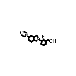 OCc1cccc(N2CCc3cc(N4CCOCC4)ccc3C2)c1F